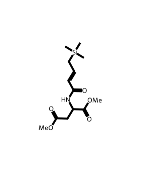 COC(=O)CC(NC(=O)C=CC[Si](C)(C)C)C(=O)OC